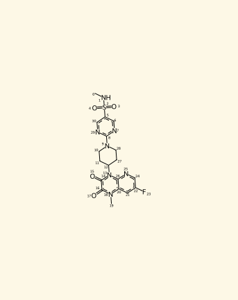 CNS(=O)(=O)c1cnc(N2CCC(n3c(=O)c(=O)n(C)c4cc(F)cnc43)CC2)nc1